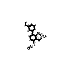 CCc1cccc(-c2ccc(N=C=O)c(CC)c2N=C=O)c1